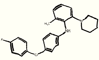 Cc1cccc(N2CCCCC2)c1Nc1ccc(Oc2ccc(F)cc2)cc1